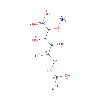 NOC(C(=O)O)C(O)C(O)C(O)COB(O)O